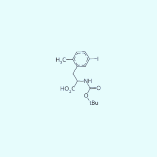 Cc1ccc(I)cc1CC(NC(=O)OC(C)(C)C)C(=O)O